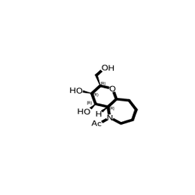 CC(=O)N1CCCCC2O[C@H](CO)[C@H](O)[C@H](O)[C@H]21